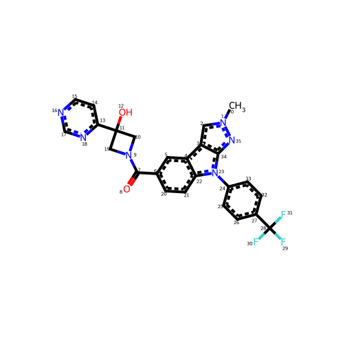 Cn1cc2c3cc(C(=O)N4CC(O)(c5ccncn5)C4)ccc3n(-c3ccc(C(F)(F)F)cc3)c2n1